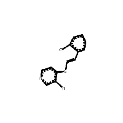 Clc1ccccc1/C=C/Sc1ccncc1Cl